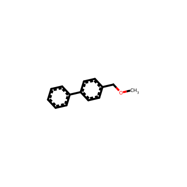 CO[CH]c1ccc(-c2ccccc2)cc1